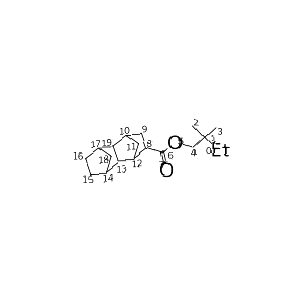 CCC(C)(C)COC(=O)C1CC2CC1C1C3CCC(C3)C21